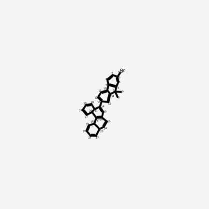 CC1(C)c2cc(Br)ccc2-c2ccc(C3=CC4=C(C5C=CC=CC5C=C4)C4C=CC=CC34)cc21